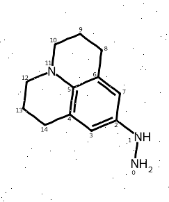 NNc1cc2c3c(c1)CCCN3CCC2